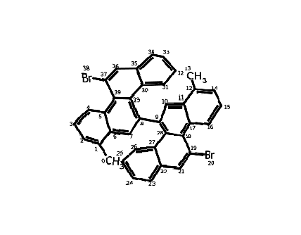 Cc1cccc2c1cc(-c1cc3c(C)cccc3c3c(Br)cc4ccccc4c13)c1c3ccccc3cc(Br)c21